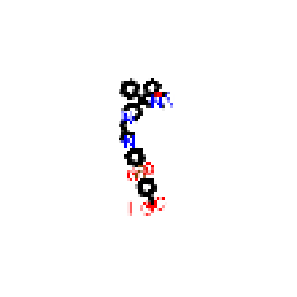 O=C(O)c1ccc(S(=O)(=O)c2ccc(N3CC(CN4CCC(C(Cn5ccnc5)(c5ccccc5)C5CCCC5)CC4)C3)cc2)cc1